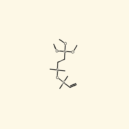 C=C[Si](C)(C)O[Si](C)(C)CC[Si](OC)(OC)OC